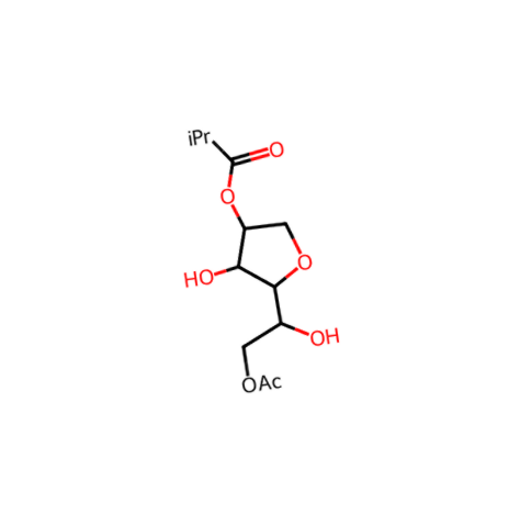 CC(=O)OCC(O)C1OCC(OC(=O)C(C)C)C1O